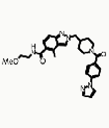 COCCNC(=O)c1ccc2nn(CC3CCN(C(=O)c4ccc(-n5cccn5)cc4)CC3)cc2c1C